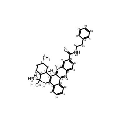 C[C@H]1CC[C@H]2[C@H](C1)c1c(c3ccccc3c3nc4ccc(C(=O)NCCc5ccccc5)cc4nc13)OC2(C)C